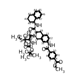 COC(=O)c1ccc(C(=O)Nc2ccc3c(c2)CN(C(=O)[C@@H](NC(=O)OC(C)(C)C)C(C)(C)SC)[C@H](C(=O)N[C@@H]2CCCc4ccccc42)C3)cc1